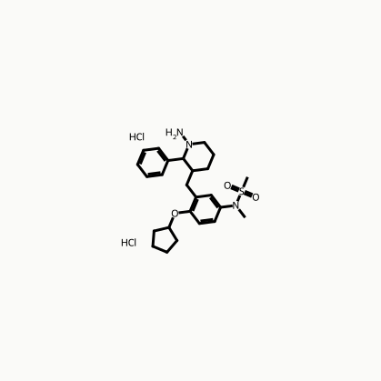 CN(c1ccc(OC2CCCC2)c(CC2CCCN(N)C2c2ccccc2)c1)S(C)(=O)=O.Cl.Cl